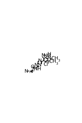 CC(C)Nc1c(F)c(Cl)c(-c2cn3cc(NC(=O)[C@@H]4C[C@@H]4C#N)nc3cn2)c2cn[nH]c12